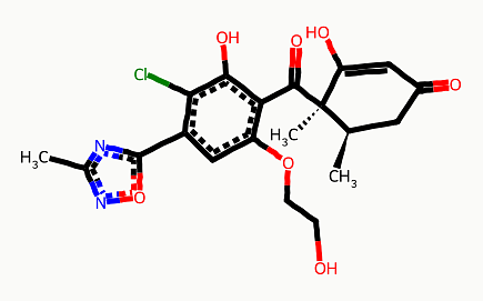 Cc1noc(-c2cc(OCCO)c(C(=O)[C@@]3(C)C(O)=CC(=O)C[C@H]3C)c(O)c2Cl)n1